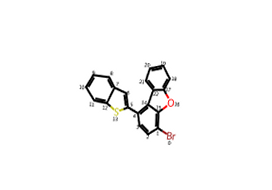 Brc1ccc(-c2cc3ccccc3s2)c2c1oc1ccccc12